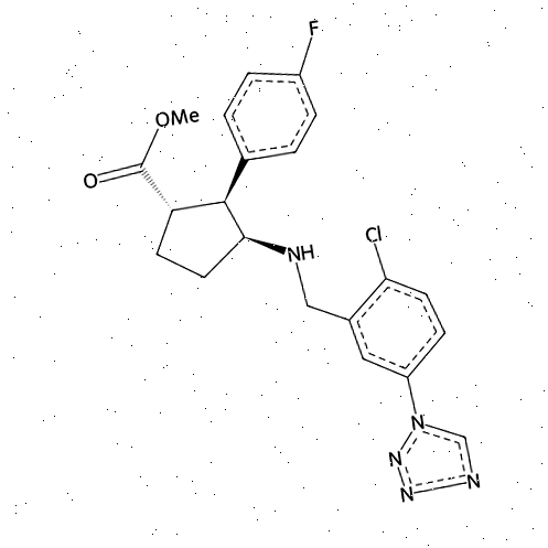 COC(=O)[C@H]1CC[C@H](NCc2cc(-n3cnnn3)ccc2Cl)[C@@H]1c1ccc(F)cc1